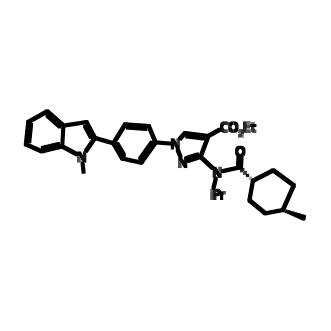 CCOC(=O)c1cn(-c2ccc(-c3cc4ccccc4n3C)cc2)nc1N(C(=O)[C@H]1CC[C@H](C)CC1)C(C)C